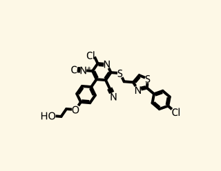 [C-]#[N+]c1c(Cl)nc(SCc2csc(-c3ccc(Cl)cc3)n2)c(C#N)c1-c1ccc(OCCO)cc1